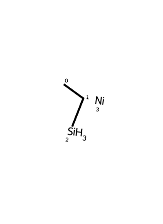 CC[SiH3].[Ni]